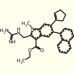 CCOC(=O)c1c(CNC(=N)N)n(C)c2cc(C3=CCCC3)c(-c3cccc4ccccc34)cc12